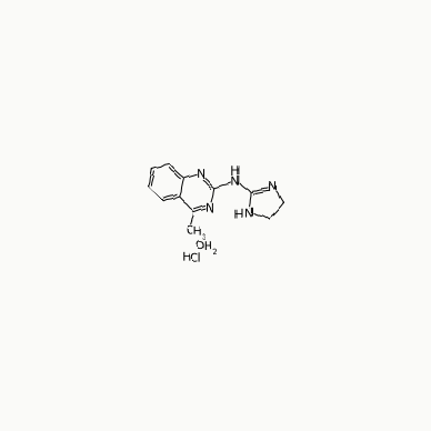 Cc1nc(NC2=NCCN2)nc2ccccc12.Cl.O